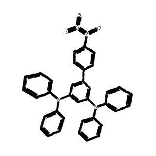 O=P(c1ccc(-c2cc(N(c3ccccc3)c3ccccc3)cc(N(c3ccccc3)c3ccccc3)c2)cc1)=S(=S)=S